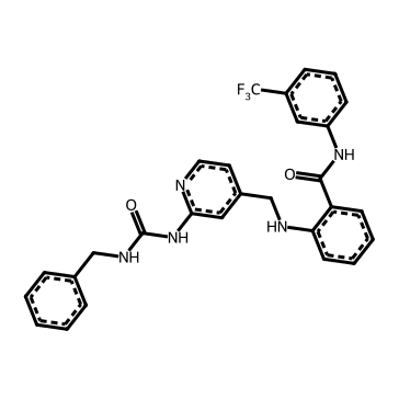 O=C(NCc1ccccc1)Nc1cc(CNc2ccccc2C(=O)Nc2cccc(C(F)(F)F)c2)ccn1